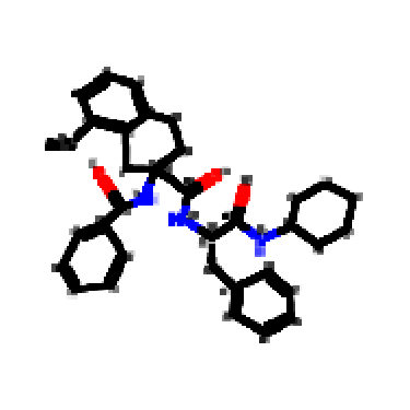 COc1cccc2c1C[C@@](NC(=O)c1ccccc1)(C(=O)N[C@@H](Cc1ccccc1)C(=O)NC1CCCCC1)CC2